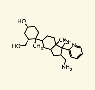 CC12CCC([C@@]3(C)CC[C@H](O)C[C@@H]3CO)CC1CC(CN)C2(O)c1ccccn1